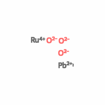 [O-2].[O-2].[O-2].[Pb+2].[Ru+4]